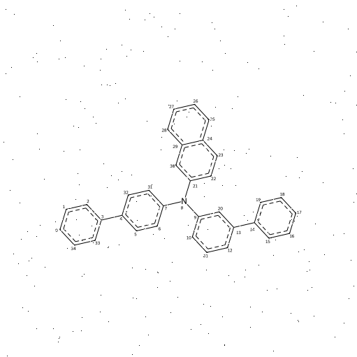 c1ccc(-c2ccc(N(c3cccc(-c4ccccc4)c3)c3ccc4ccccc4c3)cc2)cc1